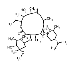 CC[C@@H]1OC(=O)C(C)[C@H](OC2CC(C)(OC)[C@H](O)C(C)O2)C(C)C(O[C@H]2C[C@@H](N(C)C)CC(C)O2)C(C)(O)CC(C)CNC(C)[C@@H](O)[C@@H]1C